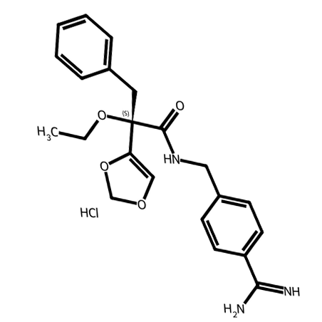 CCO[C@](Cc1ccccc1)(C(=O)NCc1ccc(C(=N)N)cc1)C1=COCO1.Cl